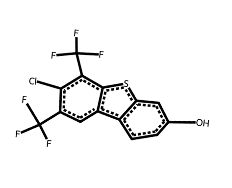 Oc1ccc2c(c1)sc1c(C(F)(F)F)c(Cl)c(C(F)(F)F)cc12